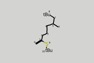 C=C(CCCC(C)CC(C)(C)C)SC(C)(C)C